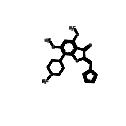 COc1cc(OC)c(C2CCN(C)CC2)c2c1C(=O)/C(=C/c1cccs1)O2